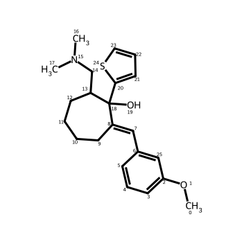 COc1cccc(/C=C2\CCCCC(CN(C)C)C2(O)c2cccs2)c1